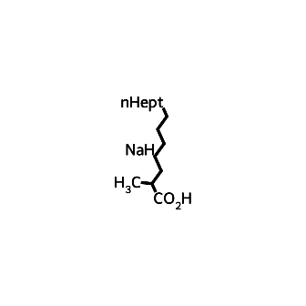 CCCCCCCCCCCCC(C)C(=O)O.[NaH]